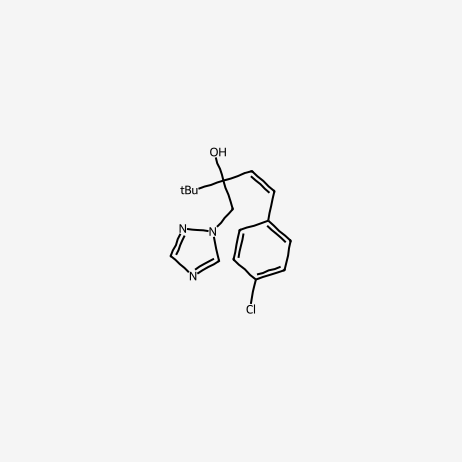 CC(C)(C)C(O)(/C=C\c1ccc(Cl)cc1)Cn1cncn1